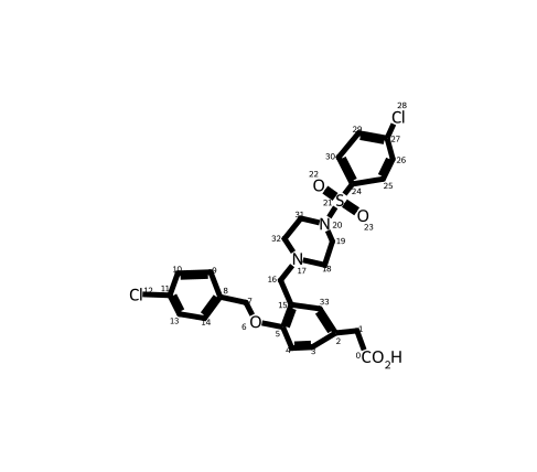 O=C(O)Cc1ccc(OCc2ccc(Cl)cc2)c(CN2CCN(S(=O)(=O)c3ccc(Cl)cc3)CC2)c1